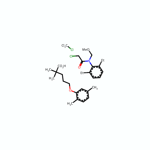 CCc1cccc(CC)c1N(COC)C(=O)CCl.Cc1ccc(C)c(OCCCC(C)(C)C(=O)O)c1.ClC(Cl)(Cl)Cl